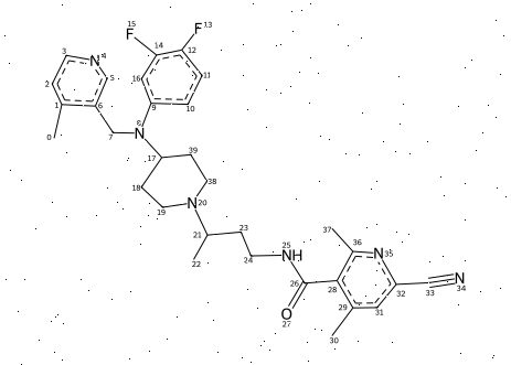 Cc1ccncc1CN(c1ccc(F)c(F)c1)C1CCN(C(C)CCNC(=O)c2c(C)cc(C#N)nc2C)CC1